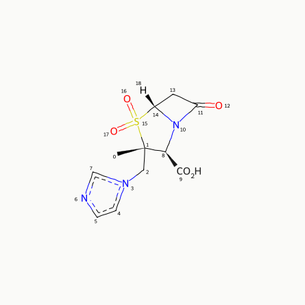 C[C@]1(Cn2ccnc2)[C@H](C(=O)O)N2C(=O)C[C@H]2S1(=O)=O